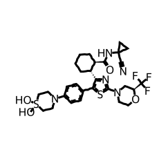 N#CC1(NC(=O)[C@@H]2CCCC[C@H]2c2nc(N3CCO[C@H](C(F)(F)F)C3)sc2-c2ccc(N3CCS(O)(O)CC3)cc2)CC1